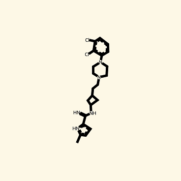 Cc1ccc(C(=N)NC2CC(CCN3CCN(c4cccc(Cl)c4Cl)CC3)C2)[nH]1